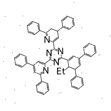 CCC1C(c2nc(C3=CC(c4ccccc4)CC(c4ccccc4)=N3)nc(-c3cc(-c4ccccc4)cc(-c4ccccc4)n3)n2)=CC(c2ccccc2)=CC1c1ccccc1